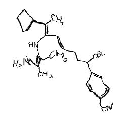 CCCCC(CC/C=C/C(N/C(C)=C(/C)N)=C(\C)C1CCC1)c1ccc(C#N)cc1